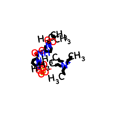 CC(C)(C)OC(=O)N1CCC[C@@H](ONC(=O)[C@@H]2CC[C@@H]3CN2C(=O)N3OS(=O)(=O)[O-])C1.CCCC[N+](CCCC)(CCCC)CCCC